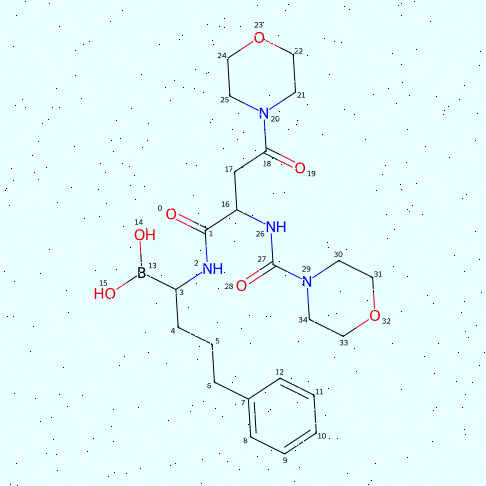 O=C(NC(CCCc1ccccc1)B(O)O)C(CC(=O)N1CCOCC1)NC(=O)N1CCOCC1